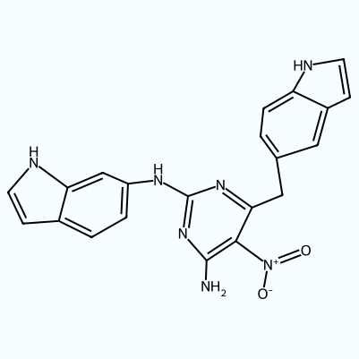 Nc1nc(Nc2ccc3cc[nH]c3c2)nc(Cc2ccc3[nH]ccc3c2)c1[N+](=O)[O-]